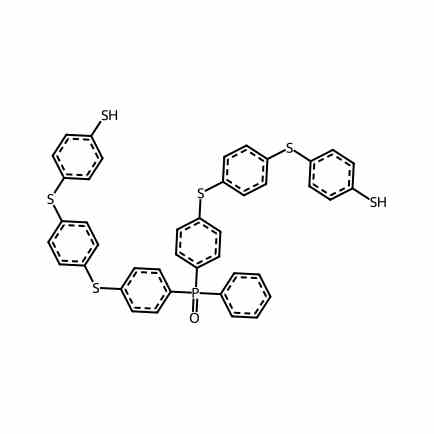 O=P(c1ccccc1)(c1ccc(Sc2ccc(Sc3ccc(S)cc3)cc2)cc1)c1ccc(Sc2ccc(Sc3ccc(S)cc3)cc2)cc1